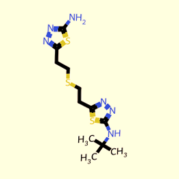 CC(C)(C)Nc1nnc(CCSCCc2nnc(N)s2)s1